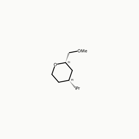 COC[C@@H]1C[C@H](C(C)C)CCO1